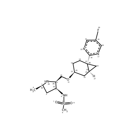 C[C@@H]1C[C@H](NS(C)(=O)=O)[C@H](CO[C@H]2CC[C@@]3(c4ncc(F)cn4)C[C@H]3C2)N1